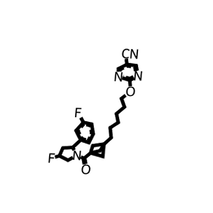 N#Cc1cnc(OCCCCCCC23CC(C(=O)N4CC(F)CC4c4cccc(F)c4)(C2)C3)nc1